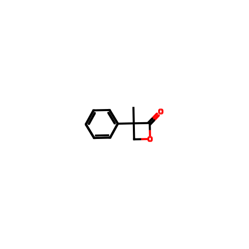 CC1(c2ccccc2)COC1=O